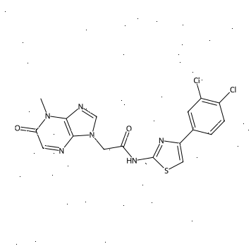 Cn1c(=O)cnc2c1ncn2CC(=O)Nc1nc(-c2ccc(Cl)c(Cl)c2)cs1